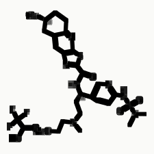 COCCN(C)CC[C@@H](NC(=O)c1nc2cc3c(nc2s1)CC[C@H](C(C)(C)C)C3)c1ccc(NS(=O)(=O)N(C)C)nc1.O=C(O)C(F)(F)F